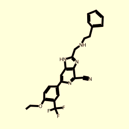 CCOc1ccc(-c2cc3[nH]c(CNCCc4ccccc4)nc3c(C#N)n2)cc1C(F)(F)F